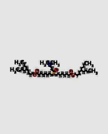 CCCCC(C/C=C\COC(=O)CCCCCCCP(CCCCCCCC(=O)OC/C=C\CC(CCCC)CCCC)C(=O)CCCN(C)C)CCCC